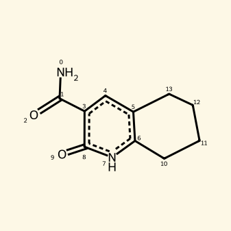 NC(=O)c1cc2c([nH]c1=O)CCCC2